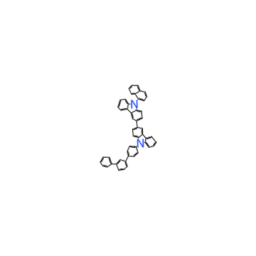 c1ccc(-c2cccc(-c3ccc(-n4c5ccccc5c5cc(-c6ccc7c(c6)c6ccccc6n7-c6cccc7ccccc67)ccc54)cc3)c2)cc1